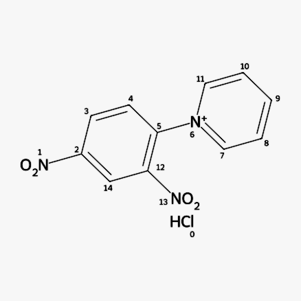 Cl.O=[N+]([O-])c1ccc(-[n+]2ccccc2)c([N+](=O)[O-])c1